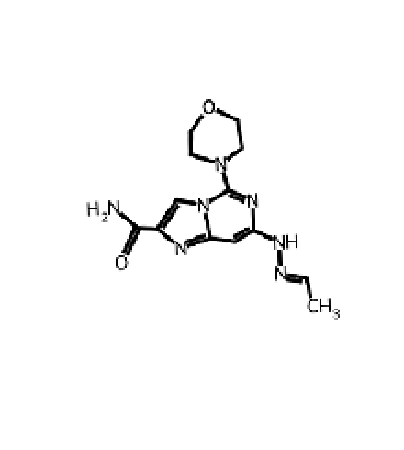 C/C=N/Nc1cc2nc(C(N)=O)cn2c(N2CCOCC2)n1